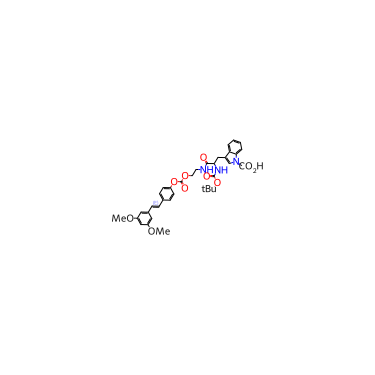 COc1cc(/C=C/c2ccc(OC(=O)OCCNC(=O)C(Cc3cn(C(=O)O)c4ccccc34)NC(=O)OC(C)(C)C)cc2)cc(OC)c1